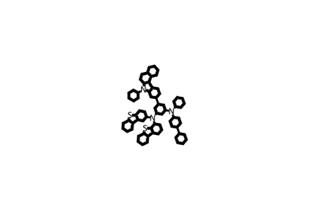 c1ccc(-c2ccc(N(c3ccccc3)c3cc(-c4ccc5c6c7ccccc7ccc6n(-c6ccccc6)c5c4)cc(N(c4ccc5sc6ccccc6c5c4)c4cccc5c4sc4ccccc45)c3)cc2)cc1